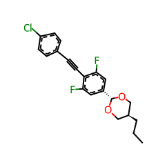 CCC[C@H]1CO[C@H](c2cc(F)c(C#Cc3ccc(Cl)cc3)c(F)c2)OC1